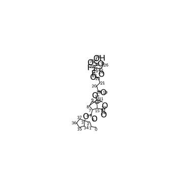 CCCC1(OC(=O)C2C3CC4C(OC(=O)C42)C3OC(=O)CCC(=O)OC(C)C(F)(F)S(=O)(=O)O)CCCC1